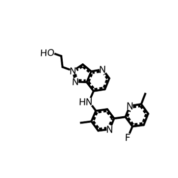 Cc1ccc(F)c(-c2cc(Nc3ccnc4cn(CCO)nc34)c(C)cn2)n1